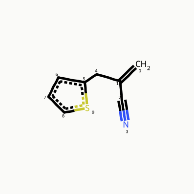 C=C(C#N)Cc1cccs1